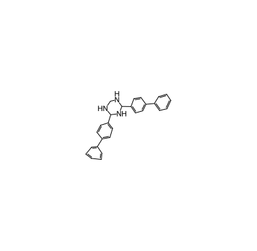 c1ccc(-c2ccc(C3NCNC(c4ccc(-c5ccccc5)cc4)N3)cc2)cc1